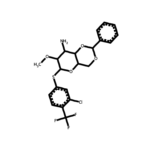 COC1C(Sc2ccc(C(F)(F)F)c(Cl)c2)OC2COC(c3ccccc3)OC2C1N